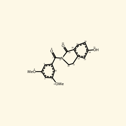 COc1cc(OC)cc(C(=O)N2CCc3cc(O)ccc3C2=O)c1